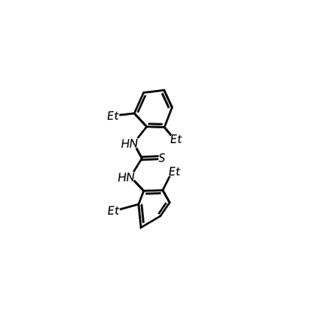 CCc1cccc(CC)c1NC(=S)Nc1c(CC)cccc1CC